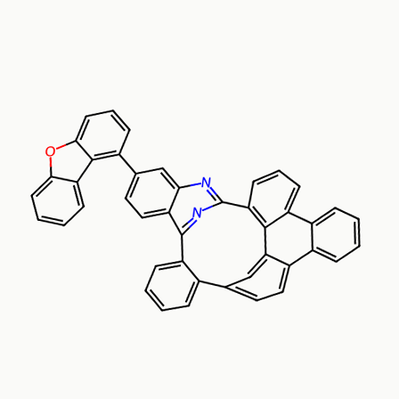 c1ccc2c(c1)oc1cccc(-c3ccc4c(c3)nc3nc4c4ccccc4c4ccc5c6ccccc6c6cccc3c6c5c4)c12